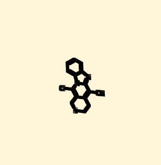 N#Cc1c2c(c(Cl)n3c1nc1ccccc13)CSCC2